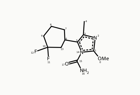 COc1nc(C)c(C2CCCC(F)(F)C2)n1C(N)=O